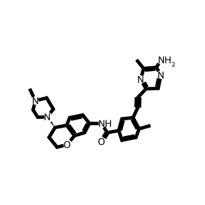 Cc1ccc(C(=O)Nc2ccc3c(c2)OCC[C@@H]3N2CCN(C)CC2)cc1C#Cc1cnc(N)c(C)n1